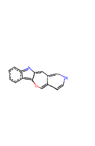 C1=CC2=COC3=c4ccccc4=NC3=CC2=CN1